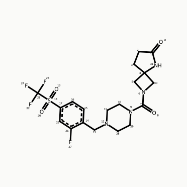 O=C1CCC2(CN(C(=O)N3CCN(Cc4ccc(S(=O)(=O)C(F)(F)F)cc4F)CC3)C2)N1